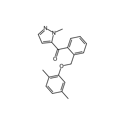 Cc1ccc(C)c(OCc2ccccc2C(=O)c2ccnn2C)c1